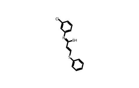 SC(C=CSc1ccccc1)=Nc1cccc(Cl)c1